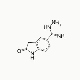 N=C(NN)c1ccc2c(c1)CC(=O)N2